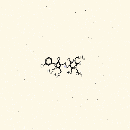 CCc1c(/N=N/c2c(O)n(CC)c(=S)n(CC)c2=O)c(=O)n(-c2cccc(Cl)c2)n1C